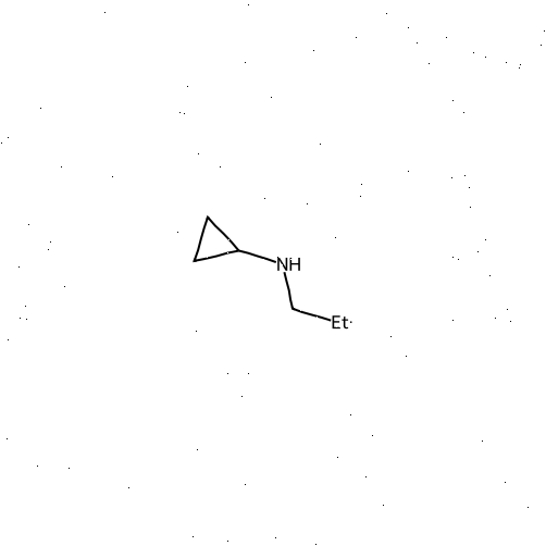 C[CH]CNC1CC1